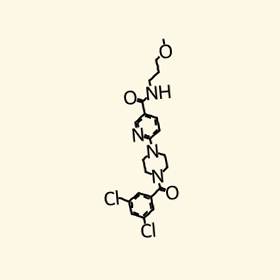 COCCCNC(=O)c1ccc(N2CCN(C(=O)c3cc(Cl)cc(Cl)c3)CC2)nc1